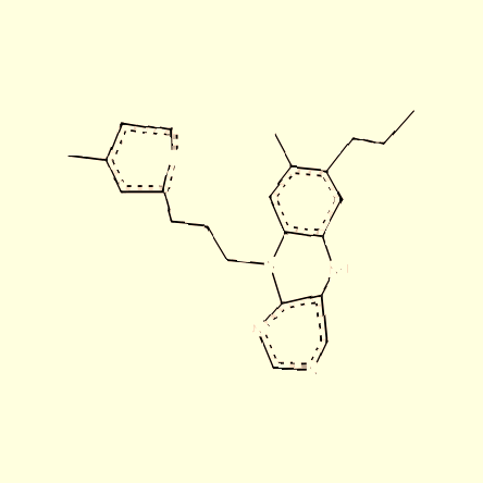 CCCc1cc2c(cc1C)N(CCCc1cccc(C)c1)c1ncncc1N2